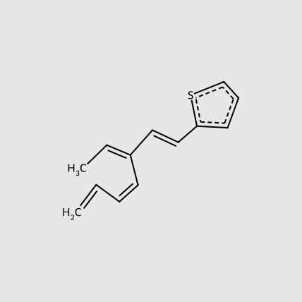 C=C\C=C/C(/C=C/c1cccs1)=C\C